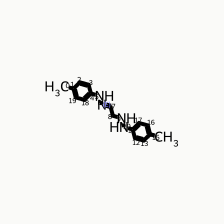 Cc1ccc(N/N=C/CNNc2ccc(C)cc2)cc1